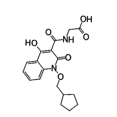 O=C(O)CNC(=O)c1c(O)c2ccccc2n(OCC2CCCC2)c1=O